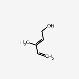 C=CC(C)=CCO